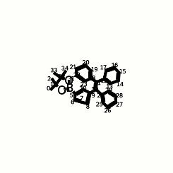 CC1(C)OB(c2cccc(C(=C(c3ccccc3)c3ccccc3)c3ccccc3)c2)OC1(C)C